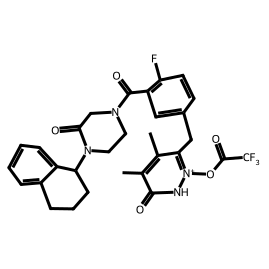 Cc1c(C)c(=O)[nH][n+](OC(=O)C(F)(F)F)c1Cc1ccc(F)c(C(=O)N2CCN(C3CCCc4ccccc43)C(=O)C2)c1